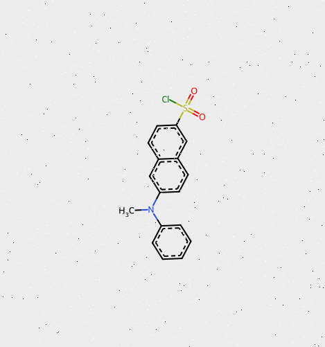 CN(c1ccccc1)c1ccc2cc(S(=O)(=O)Cl)ccc2c1